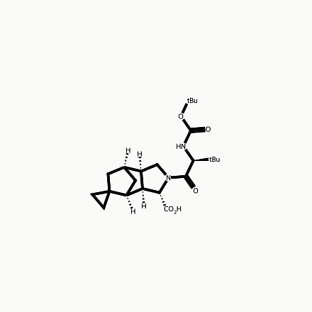 CC(C)(C)OC(=O)N[C@H](C(=O)N1C[C@@H]2[C@H]3C[C@@H]([C@@H]2[C@H]1C(=O)O)C1(CC1)C3)C(C)(C)C